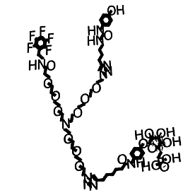 O=C(CCOCCOCCOCCN(CCOCCOCCOCCn1cc(CCCCCC(=O)Nc2ccc(O[C@H]3O[C@H](CCP(=O)(O)O)[C@@H](O)[C@H](O)[C@@H]3O)cc2)nn1)CCOCCOCCOCCn1cc(CCCCNC(=O)Nc2ccc(O)cc2)nn1)NCCc1c(F)c(F)c(F)c(F)c1F